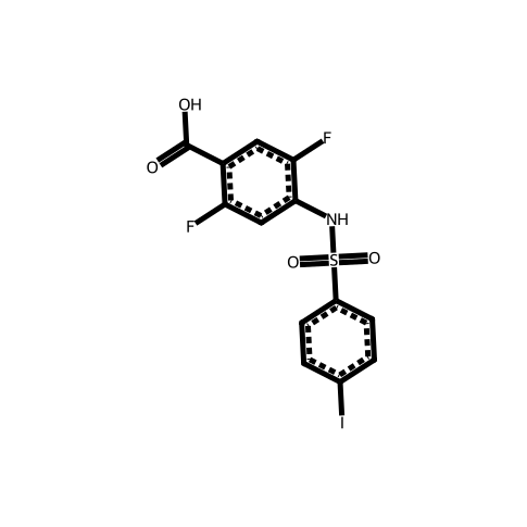 O=C(O)c1cc(F)c(NS(=O)(=O)c2ccc(I)cc2)cc1F